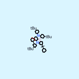 Cc1cc2c3c(c1)N(c1ccc(C(C)(C)C)cc1-c1ccccc1)c1cc(C(C)(C)c4ccccc4)ccc1B3c1cc(C(C)(C)C)ccc1N2c1ccc(C(C)(C)C)cc1